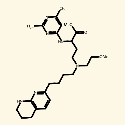 COCCN(CCCCc1ccc2c(n1)NCCC2)CCC(Nc1cc(C(F)(F)F)nc(C)n1)C(=O)OC